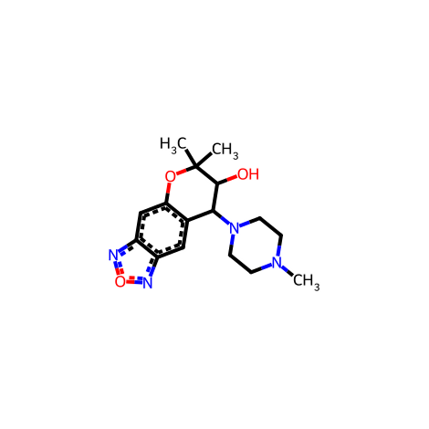 CN1CCN(C2c3cc4nonc4cc3OC(C)(C)C2O)CC1